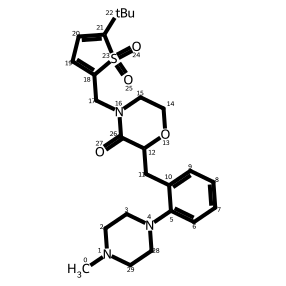 CN1CCN(c2ccccc2CC2OCCN(CC3=CC=C(C(C)(C)C)S3(=O)=O)C2=O)CC1